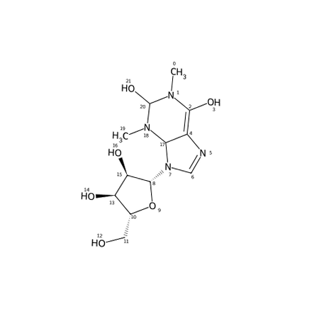 CN1C(O)=C2N=CN([C@@H]3O[C@H](CO)[C@@H](O)[C@H]3O)C2N(C)C1O